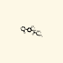 NC[C@H](N)C(=O)Nc1ccc(N2CCOCC2=O)cc1C(F)(F)F